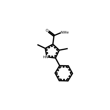 CNC(=O)c1c(C)[nH]c(-c2ccccc2)c1C